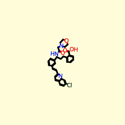 O=C(CN1CCOCC1)NC(CCc1ccccc1C(=O)O)c1cccc(/C=C/c2ccc3ccc(Cl)cc3n2)c1